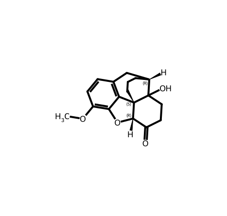 COc1ccc2c3c1O[C@H]1C(=O)CCC4(O)[C@H](CCC[C@]314)C2